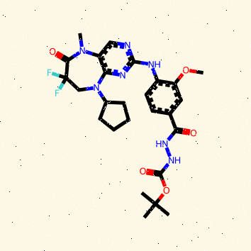 COc1cc(C(=O)NNC(=O)OC(C)(C)C)ccc1Nc1ncc2c(n1)N(C1CCCC1)CC(F)(F)C(=O)N2C